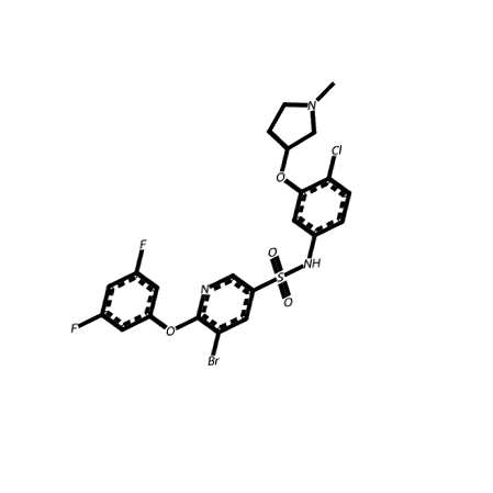 CN1CCC(Oc2cc(NS(=O)(=O)c3cnc(Oc4cc(F)cc(F)c4)c(Br)c3)ccc2Cl)C1